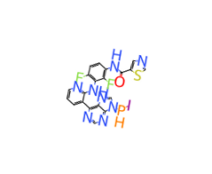 O=C(Nc1ccc(F)c(Nc2ncccc2-c2ncnc3c2ncn3PI)c1F)c1cncs1